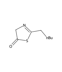 CCCCCC1=NCC(=O)S1